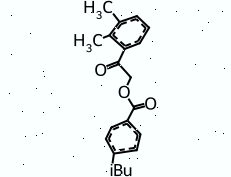 CCC(C)c1ccc(C(=O)OCC(=O)c2cccc(C)c2C)cc1